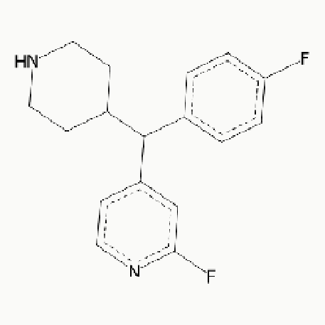 Fc1ccc(C(c2ccnc(F)c2)C2CCNCC2)cc1